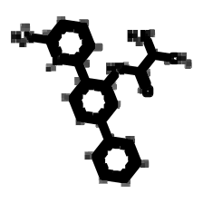 CC(N)C(=O)Nc1cc(-c2ccccc2)ccc1-c1cccc(N)n1